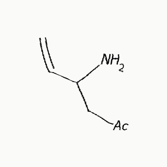 C=CC(N)CC(C)=O